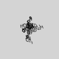 Cc1nc(CN2CCN([C@H](C(=O)N[C@@H](Cc3ccccc3)[C@@H](O)CN(Cc3ccc(-c4ccccn4)cc3)NC(=O)C(NC(=O)O)C(C)(C)C)C(C)(C)C)C2=O)cs1